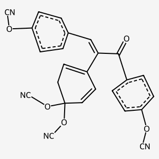 N#COc1ccc(C=C(C(=O)c2ccc(OC#N)cc2)C2=CCC(OC#N)(OC#N)C=C2)cc1